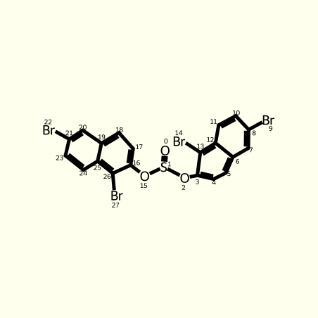 O=S(Oc1ccc2cc(Br)ccc2c1Br)Oc1ccc2cc(Br)ccc2c1Br